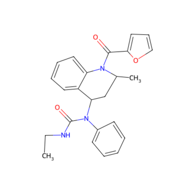 CCNC(=O)N(c1ccccc1)C1CC(C)N(C(=O)c2ccco2)c2ccccc21